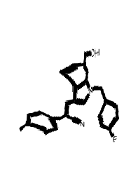 Cc1ccc(/C(C#N)=C/c2cn(Cc3ccc(F)cc3)c3cc(CO)ccc23)cc1